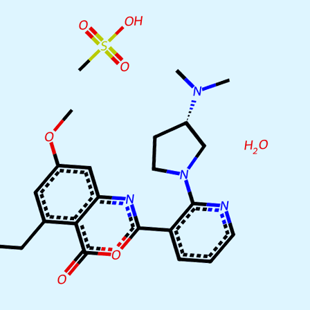 CCc1cc(OC)cc2nc(-c3cccnc3N3CC[C@H](N(C)C)C3)oc(=O)c12.CS(=O)(=O)O.O